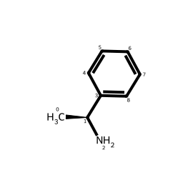 C[C@H](N)c1[c]cccc1